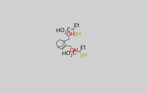 CCC(S)C(=O)O.CCC(S)C(=O)O.OCC1=CC2CCC1(CO)C2